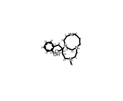 CN1CCN2CCCNCCN(CC2)C(Cl)(Cc2ccccc2O)CC1